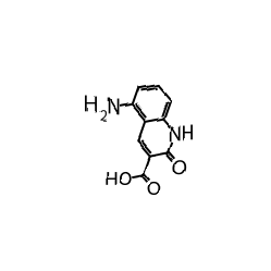 Nc1cccc2[nH]c(=O)c(C(=O)O)cc12